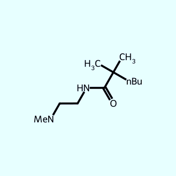 CCCCC(C)(C)C(=O)NCCNC